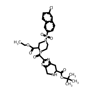 CCOC(=O)C1CN(S(=O)(=O)c2ccc3cc(Cl)ccc3c2)CCN1C(=O)c1nc2c(s1)CNC(C(=O)OC(C)(C)C)C2